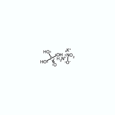 N.O=P(O)(O)O.O=[N+]([O-])[O-].[K+]